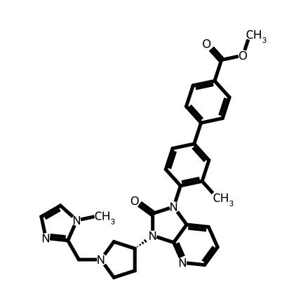 COC(=O)c1ccc(-c2ccc(-n3c(=O)n([C@@H]4CCN(Cc5nccn5C)C4)c4ncccc43)c(C)c2)cc1